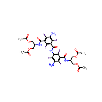 CC(=O)OCC(COC(C)=O)NC(=O)c1c(I)c(N)c(I)c(NC(=O)c2c(I)c(N)c(I)c(C(=O)NC(COC(C)=O)COC(C)=O)c2I)c1I